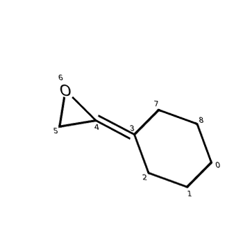 C1CCC(=C2CO2)CC1